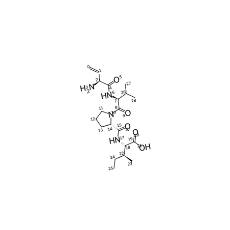 C=C[C@H](N)C(=O)N[C@H](C(=O)N1CCC[C@H]1C(=O)N[C@H](C(=O)O)[C@@H](C)CC)C(C)C